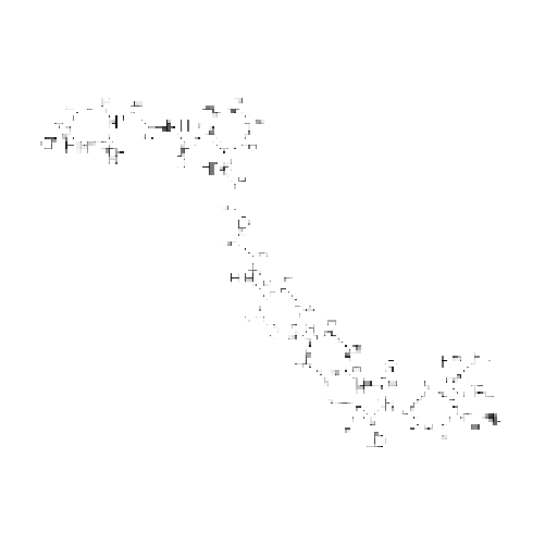 CC1(C)C(=O)N(c2ccc(C#N)c(C(F)(F)F)c2)C(=S)N1c1ccc(-c2ccc(NCCOCCNc3ccccc3C(=O)NCCN3CCC(=O)NC3=O)cc2)cc1